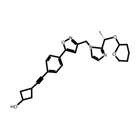 C[C@H](OC1CCCCO1)c1nccn1Cc1cc(-c2ccc(C#CC3CC(O)C3)cc2)on1